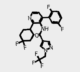 O=C(Nc1c(-c2cc(F)ccc2F)ccnc1C1CCC(F)(F)CC1)c1cnn(CC(F)(F)F)c1